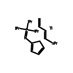 C=CC=CCCC.CC(C)P(=NC1=CC=CC1)(C(C)C)C(C)C.[Ti]